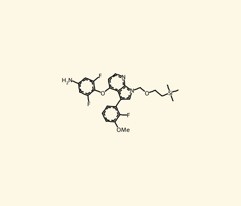 COc1cccc(-c2cn(COCC[Si](C)(C)C)c3nccc(Oc4c(F)cc(N)cc4F)c23)c1F